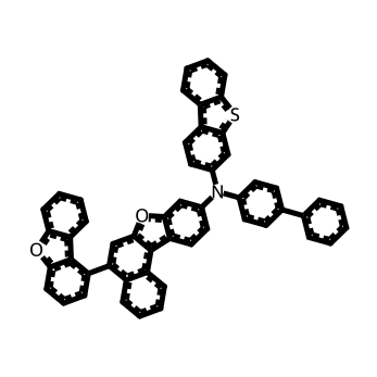 c1ccc(-c2ccc(N(c3ccc4c(c3)oc3cc(-c5cccc6oc7ccccc7c56)c5ccccc5c34)c3ccc4c(c3)sc3ccccc34)cc2)cc1